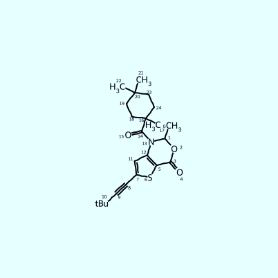 CC1OC(=O)c2sc(C#CC(C)(C)C)cc2N1C(=O)C1(C)CCC(C)(C)CC1